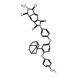 Cc1ccc(Oc2ccc(Oc3ccc(-n4c(=O)c5cc6c(=O)n(C)c(=O)c6cc5c4=O)cc3)cc2C23CC4CC(CC(C4)C2)C3)cc1